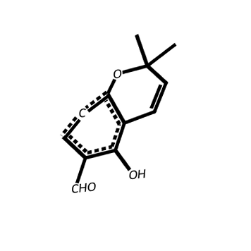 CC1(C)C=Cc2c(ccc(C=O)c2O)O1